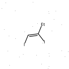 CCC(I)=CI